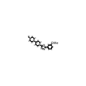 COc1cccc(-c2nnc(N3CCC(N4CCN(C)CC4)CC3)o2)c1